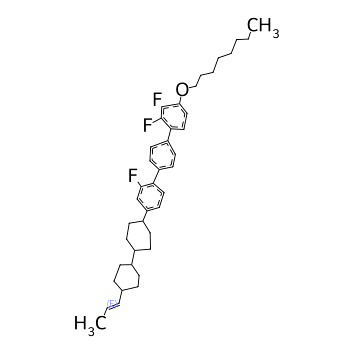 C/C=C/C1CCC(C2CCC(c3ccc(-c4ccc(-c5ccc(OCCCCCCCC)c(F)c5F)cc4)c(F)c3)CC2)CC1